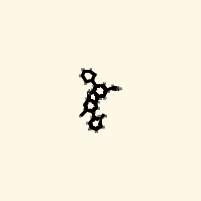 Cc1cc2oc3c(C4CCCCC4)cc(C#N)cc3c2cc1-c1cccc[n+]1C